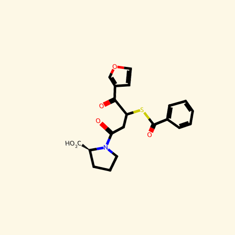 O=C(SC(CC(=O)N1CCC[C@H]1C(=O)O)C(=O)c1ccoc1)c1ccccc1